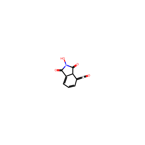 O=C=C1C=CC=C2C(=O)N(O)C(=O)C12